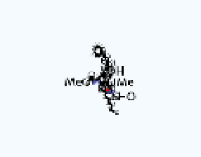 C=CCCCCC(=O)O[C@H]1/C(=C/C(=O)OC)C[C@@H](C[C@@H](O)[C@@H](C)OCc2ccccc2)O[C@@]1(OC)C(C)(C)/C=C/C=O